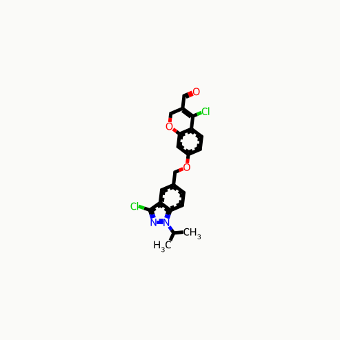 CC(C)n1nc(Cl)c2cc(COc3ccc4c(c3)OCC(C=O)=C4Cl)ccc21